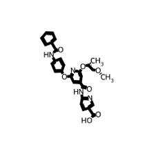 COC[C@@H](C)Oc1cc(C(=O)Nc2ccc(C(=O)O)cn2)cc(Oc2ccc(NC(=O)c3ccccc3)cc2)n1